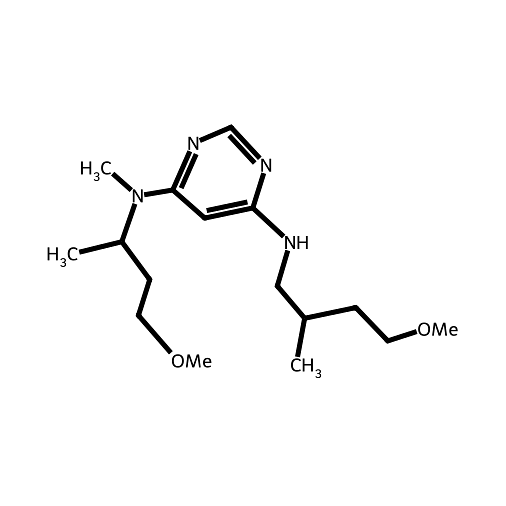 COCCC(C)CNc1cc(N(C)C(C)CCOC)ncn1